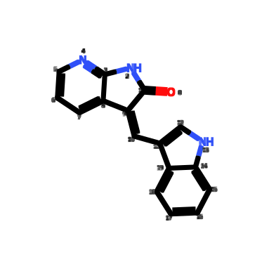 O=C1Nc2ncccc2C1=Cc1c[nH]c2ccccc12